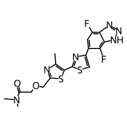 Cc1nc(COCC(=O)N(C)C)sc1-c1nc(-c2cc(F)c3nn[nH]c3c2F)cs1